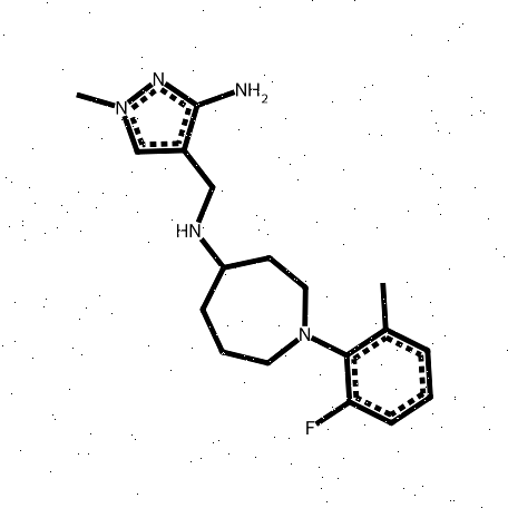 Cc1cccc(F)c1N1CCCC(NCc2cn(C)nc2N)CC1